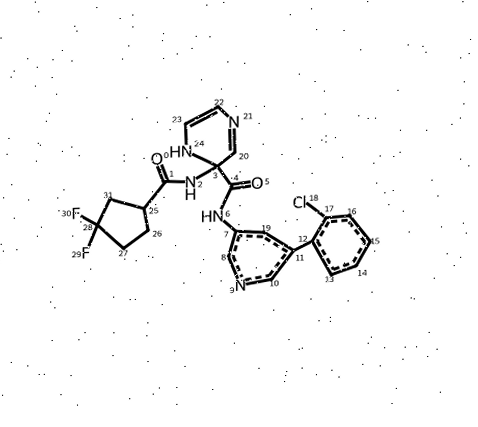 O=C(NC1(C(=O)Nc2cncc(-c3ccccc3Cl)c2)C=NC=CN1)C1CCC(F)(F)C1